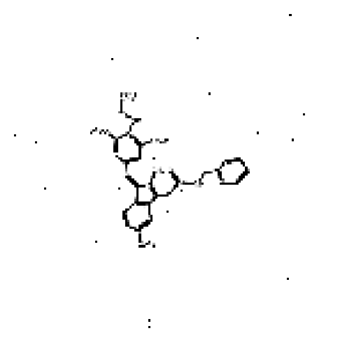 COc1ccc2c(c1)C(CC(=O)NCc1ccccc1)=C(C)C2=Cc1cc(OC)c(NCC(=O)O)c(OC)c1